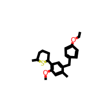 CCOc1ccc(Cc2cc(C3CCCC(C)S3)c(OC)cc2C)cc1